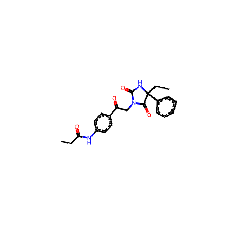 CCC(=O)Nc1ccc(C(=O)CN2C(=O)NC(CC)(c3ccccc3)C2=O)cc1